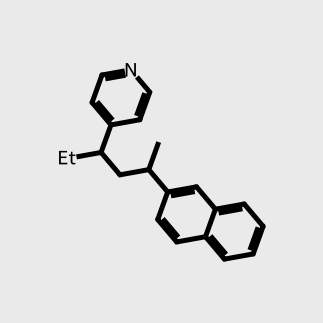 CCC(CC(C)c1ccc2ccccc2c1)c1ccncc1